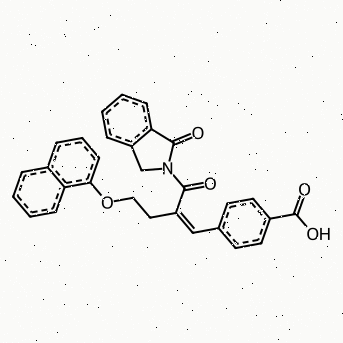 O=C(O)c1ccc(C=C(CCOc2cccc3ccccc23)C(=O)N2Cc3ccccc3C2=O)cc1